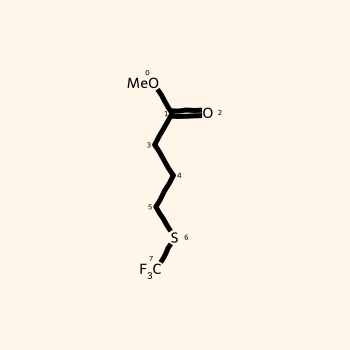 COC(=O)CCCSC(F)(F)F